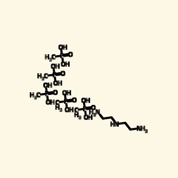 CP(=O)(O)O.CP(=O)(O)O.CP(=O)(O)O.CP(=O)(O)O.CP(=O)(O)O.NCCNCCN